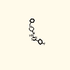 Fc1ccc(-c2csc(NN=C3CCN(Cc4ccccc4)CC3)n2)cc1